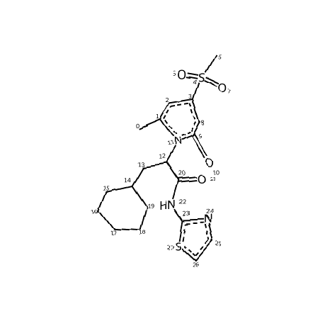 Cc1cc(S(C)(=O)=O)cc(=O)n1C(CC1CCCCC1)C(=O)Nc1nccs1